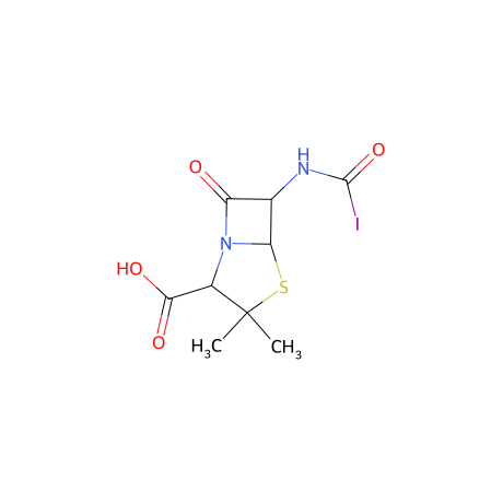 CC1(C)SC2C(NC(=O)I)C(=O)N2C1C(=O)O